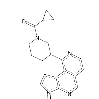 O=C(C1CC1)N1CCCC(c2nccc3cnc4[nH]ccc4c23)C1